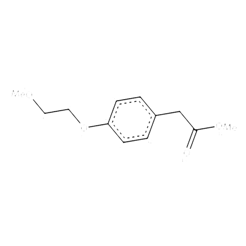 COCCOc1ccc(CC(=O)OC)cc1